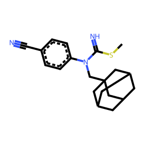 CSC(=N)N(CC12CC3CC(CC(C3)C1)C2)c1ccc(C#N)cc1